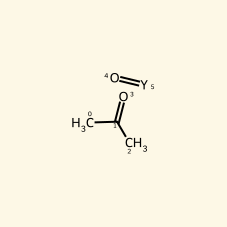 CC(C)=O.[O]=[Y]